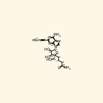 CCCCC#Cc1nc(N)c2ncn([C@@H]3O[C@](CO)(CCCC(N)=O)C(O)C3O)c2n1